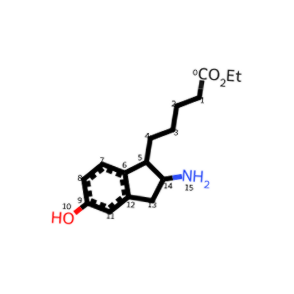 CCOC(=O)CCCCC1c2ccc(O)cc2CC1N